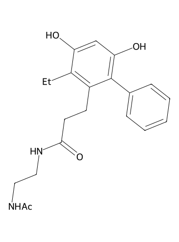 CCc1c(O)cc(O)c(-c2ccccc2)c1CCC(=O)NCCNC(C)=O